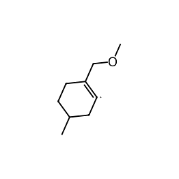 COCC1=[C]CC(C)CC1